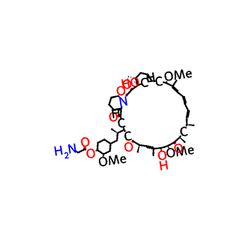 CO[C@H]1C[C@@H]2CC[C@@H](C)[C@@](O)(C2)C(=O)C(=O)N2CCCC[C@H]2C(=O)C[C@H]([C@H](C)CC2CC[C@@H](OC(=O)CN)[C@H](OC)C2)CC(=O)[C@H](C)/C=C(\C)[C@@H](O)[C@@H](OC)C(=O)[C@H](C)C[C@H](C)/C=C/C=C/C=C/1C